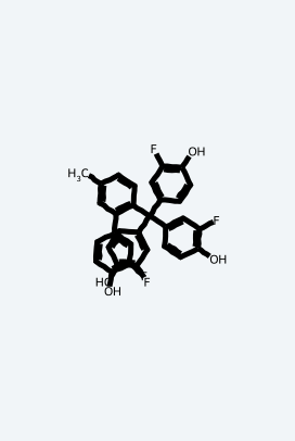 Cc1ccc(C(c2ccc(O)c(F)c2)(c2ccc(O)c(F)c2)c2ccc(O)c(F)c2)c(-c2ccc(O)c(F)c2)c1